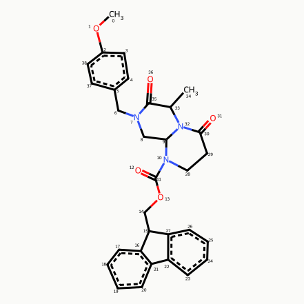 COc1ccc(CN2CC3N(C(=O)OCC4c5ccccc5-c5ccccc54)CCC(=O)N3C(C)C2=O)cc1